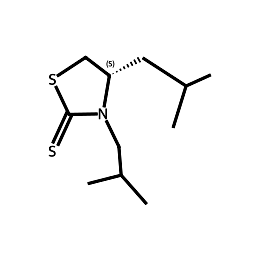 CC(C)C[C@H]1CSC(=S)N1CC(C)C